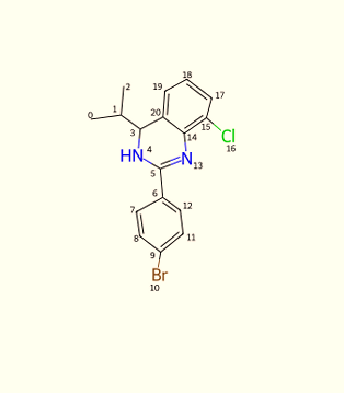 CC(C)C1NC(c2ccc(Br)cc2)=Nc2c(Cl)cccc21